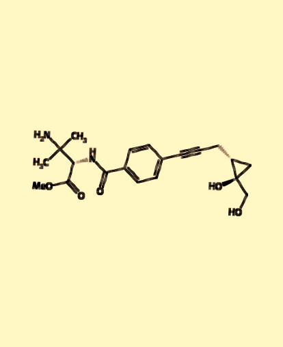 COC(=O)[C@@H](NC(=O)c1ccc(C#CC[C@@H]2C[C@]2(O)CO)cc1)C(C)(C)N